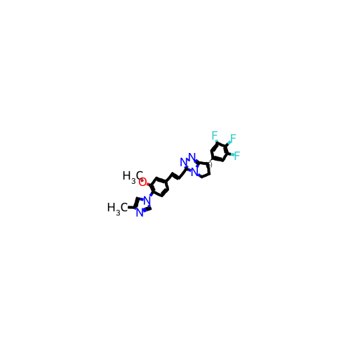 COc1cc(C=Cc2nnc3n2CC[C@H]3c2cc(F)c(F)c(F)c2)ccc1-n1cnc(C)c1